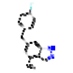 O=[N+]([O-])c1cc(Cc2ccc(F)cc2)cc2[nH]ncc12